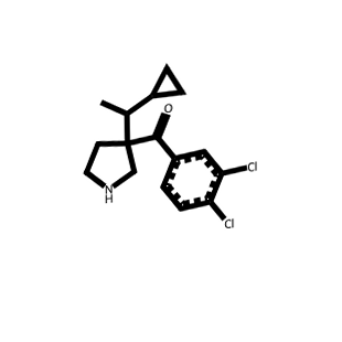 CC(C1CC1)C1(C(=O)c2ccc(Cl)c(Cl)c2)CCNC1